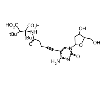 CC(C)(C)C(C(=O)O)C(NC(=O)CCC#Cc1cn(C2CC(O)C(CO)O2)c(=O)nc1N)(C(=O)O)C(C)(C)C